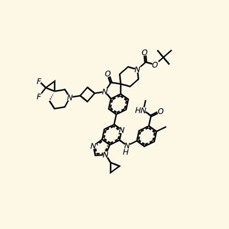 CNC(=O)c1cc(Nc2nc(-c3ccc4c(c3)N(C3CC(N5CCC[C@@]6(C5)CC6(F)F)C3)C(=O)C43CCN(C(=O)OC(C)(C)C)CC3)cc3ncn(C4CC4)c23)ccc1C